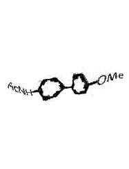 COc1ccc(-c2c[c]c(NC(C)=O)cc2)cc1